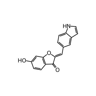 O=C1/C(=C/c2ccc3[nH]ccc3c2)Oc2cc(O)ccc21